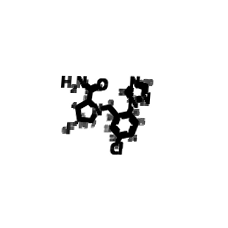 NC(=O)C1C[C@@H](F)CN1Cc1cc(Cl)ccc1-n1cncn1